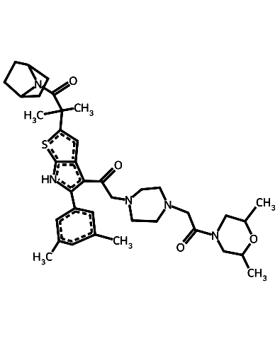 Cc1cc(C)cc(-c2[nH]c3sc(C(C)(C)C(=O)N4C5CCC4CC5)cc3c2C(=O)CN2CCN(CC(=O)N3CC(C)OC(C)C3)CC2)c1